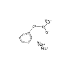 [Na+].[Na+].[O-]B([O-])Oc1ccccc1